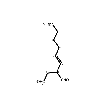 CCCCCCCCCCC=CC([C]=O)C[C]=O